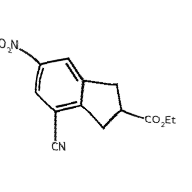 CCOC(=O)C1Cc2cc([N+](=O)[O-])cc(C#N)c2C1